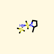 CC1CCCN1S(C)(C)NS(C)(C)C